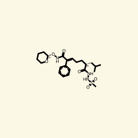 CC(C)C[C@@H](CCC=C(C(=O)NO[C@H]1CCCCO1)c1ccccc1)C(=O)NNS(C)(=O)=O